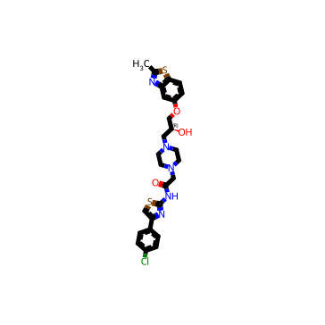 Cc1nc2cc(OC[C@H](O)CN3CCN(CC(=O)Nc4nc(-c5ccc(Cl)cc5)cs4)CC3)ccc2s1